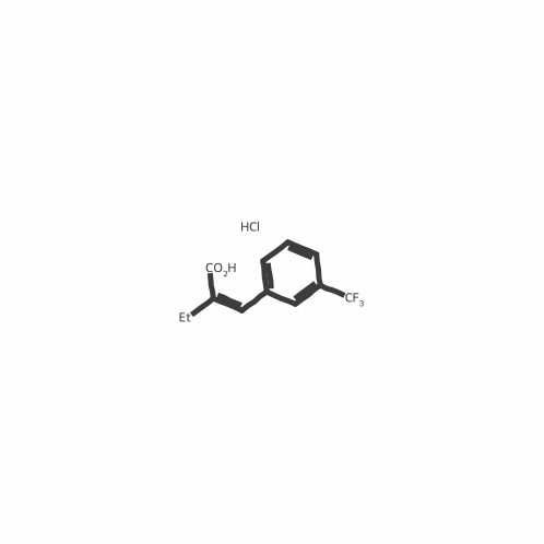 CCC(=Cc1cccc(C(F)(F)F)c1)C(=O)O.Cl